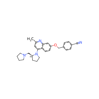 Cc1cc(N2CCC[C@H]2CN2CCCC2)c2ccc(OCc3ccc(C#N)cc3)cc2n1